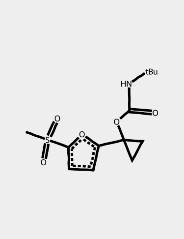 CC(C)(C)NC(=O)OC1(c2ccc(S(C)(=O)=O)o2)CC1